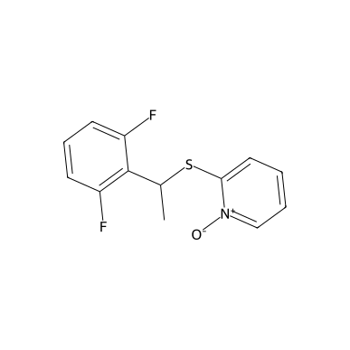 CC(Sc1cccc[n+]1[O-])c1c(F)cccc1F